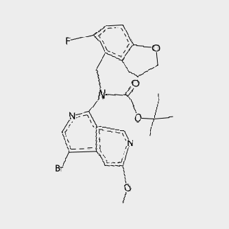 COc1cc2c(Br)cnc(N(Cc3c(F)ccc4c3CCO4)C(=O)OC(C)(C)C)c2cn1